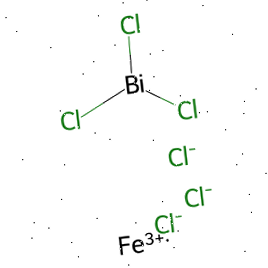 [Cl-].[Cl-].[Cl-].[Cl][Bi]([Cl])[Cl].[Fe+3]